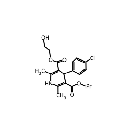 CC1=C(C(=O)OCCO)C(c2ccc(Cl)cc2)C(C(=O)OC(C)C)=C(C)N1